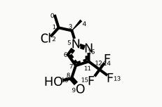 CC(Cl)[C@@H](C)n1cc(C(=O)O)c(C(F)(F)F)n1